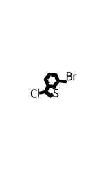 Clc1csc2c(CBr)cccc12